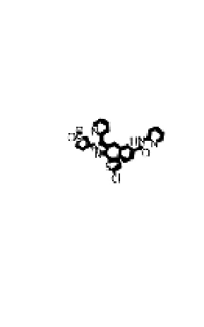 O=C(Nc1ccccn1)c1cccc(Cc2c(-c3ccc(Cl)s3)nn(C3CCS(=O)(=O)C3)c2-c2ccccn2)c1